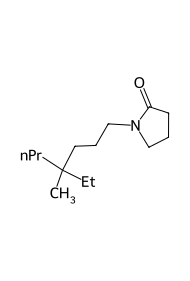 CCCC(C)(CC)CCCN1CCCC1=O